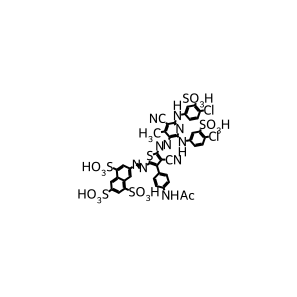 CC(=O)Nc1ccc(-c2c(N=Nc3cc(S(=O)(=O)O)c4cc(S(=O)(=O)O)cc(S(=O)(=O)O)c4c3)sc(N=Nc3c(Nc4ccc(Cl)c(S(=O)(=O)O)c4)nc(Nc4ccc(Cl)c(S(=O)(=O)O)c4)c(C#N)c3C)c2C#N)cc1